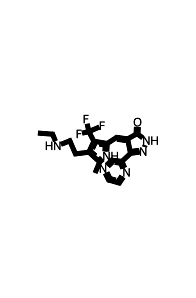 CCNCCc1c(C)[nH]c(/C=C2/C(=O)NN=C2c2cnccn2)c1C(F)(F)F